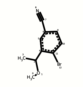 COC(C)c1cc(C#N)ccc1Br